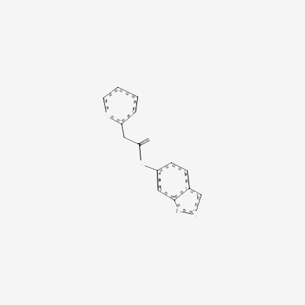 O=C(Cc1ccccn1)Nc1ccc2cn[nH]c2c1